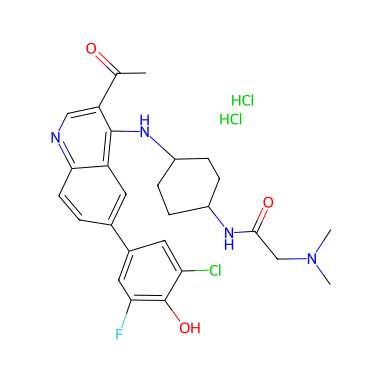 CC(=O)c1cnc2ccc(-c3cc(F)c(O)c(Cl)c3)cc2c1NC1CCC(NC(=O)CN(C)C)CC1.Cl.Cl